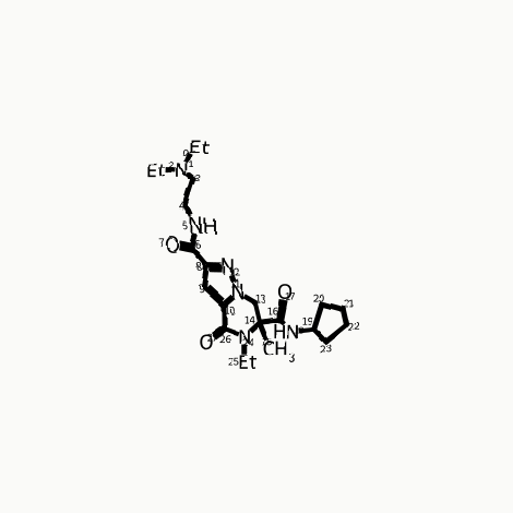 CCN(CC)CCNC(=O)c1cc2n(n1)CC(C)(C(=O)NC1CCCC1)N(CC)C2=O